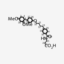 COc1ccc(-c2ccc(OCCCCc3ccc(C(=O)NCCC(=O)O)cc3)cc2)c(OC)c1